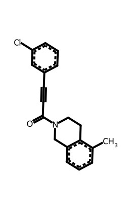 Cc1cccc2c1CCN(C(=O)C#Cc1cccc(Cl)c1)C2